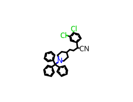 N#CC(CCC1CCN(C(c2ccccc2)(c2ccccc2)c2ccccc2)CC1)c1ccc(Cl)c(Cl)c1